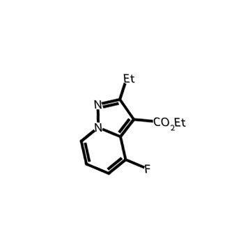 CCOC(=O)c1c(CC)nn2cccc(F)c12